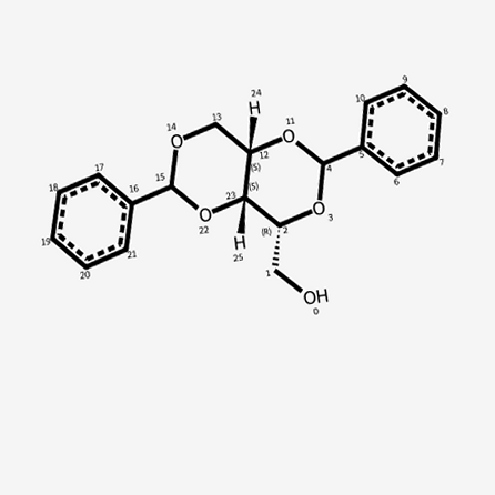 OC[C@H]1OC(c2ccccc2)O[C@H]2COC(c3ccccc3)O[C@H]21